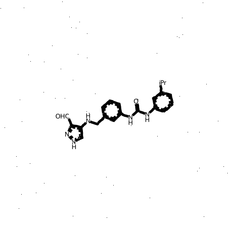 CC(C)c1cccc(NC(=O)Nc2cccc(CNc3c[nH]nc3C=O)c2)c1